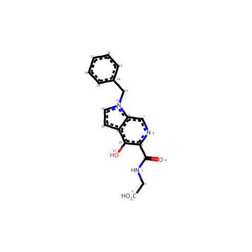 O=C(O)CNC(=O)c1ncc2c(ccn2Cc2ccccc2)c1O